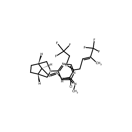 C/N=C(\N/N=N/[C@@H]1[C@@H]2CC[C@H]1CN(c1cc(Cl)ncn1)C2)C(C/C=C(\C)C(F)(F)F)OCC(F)(F)F